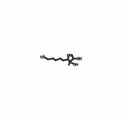 CC(O)C(C)(O)C(O)CCCCCO